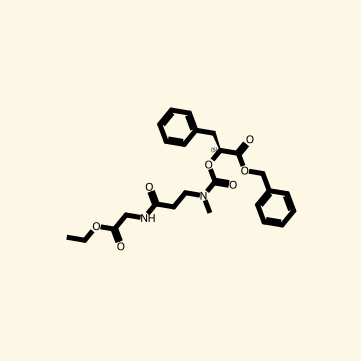 CCOC(=O)CNC(=O)CCN(C)C(=O)O[C@@H](Cc1ccccc1)C(=O)OCc1ccccc1